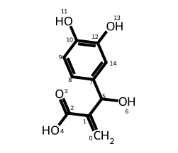 C=C(C(=O)O)C(O)c1ccc(O)c(O)c1